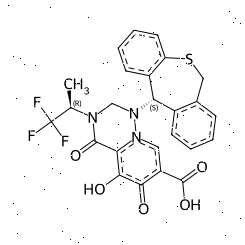 C[C@@H](N1CN([C@H]2c3ccccc3CSc3ccccc32)n2cc(C(=O)O)c(=O)c(O)c2C1=O)C(F)(F)F